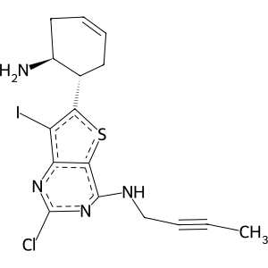 CC#CCNc1nc(Cl)nc2c(I)c([C@H]3CC=CC[C@@H]3N)sc12